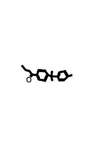 CCCC(=O)c1ccc(C(C)(C)c2ccc(C)cc2)cc1